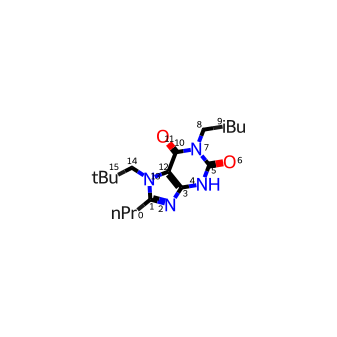 CCCc1nc2[nH]c(=O)n(CC(C)CC)c(=O)c2n1CC(C)(C)C